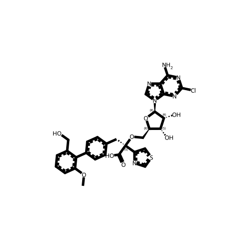 COc1cccc(CO)c1-c1ccc(C[C@@](OC[C@H]2O[C@@H](n3cnc4c(N)nc(Cl)nc43)[C@H](O)[C@@H]2O)(C(=O)O)c2cscn2)cc1